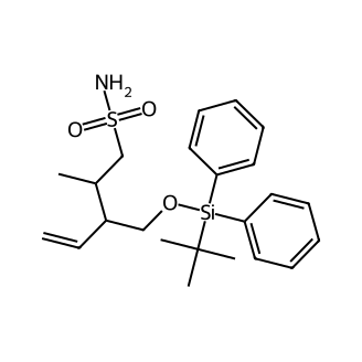 C=CC(CO[Si](c1ccccc1)(c1ccccc1)C(C)(C)C)C(C)CS(N)(=O)=O